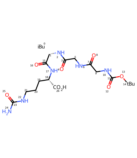 CC[C@H](C)[C@H](NC(=O)CNC(=O)CNC(=O)OC(C)(C)C)C(=O)N[C@@H](CCCNC(N)=O)C(=O)O